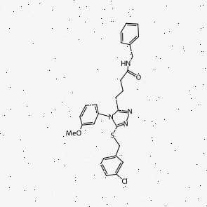 COc1cccc(-n2c(CCCC(=O)NCc3ccccc3)nnc2SCc2cccc(Cl)c2)c1